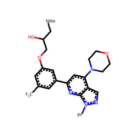 CNCC(O)COc1cc(-c2cc(N3CCOCC3)c3cnn(C(C)C)c3n2)cc(C(F)(F)F)c1